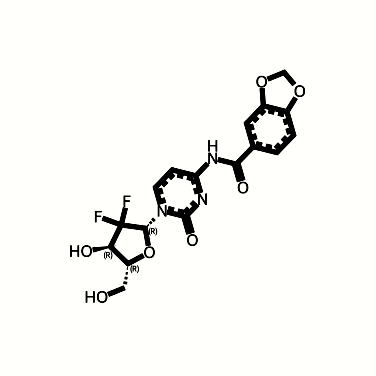 O=C(Nc1ccn([C@@H]2O[C@H](CO)[C@@H](O)C2(F)F)c(=O)n1)c1ccc2c(c1)OCO2